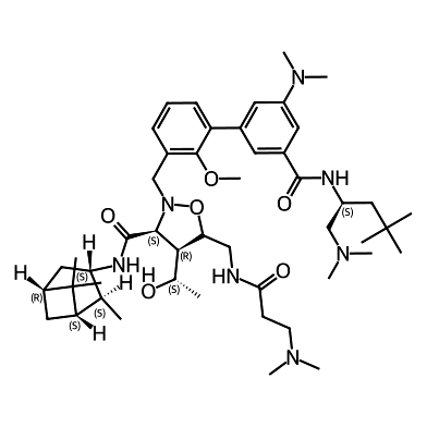 COc1c(CN2OC(CNC(=O)CCN(C)C)[C@@H]([C@H](C)O)[C@H]2C(=O)N[C@H]2C[C@H]3C[C@@H]([C@@H]2C)C3(C)C)cccc1-c1cc(C(=O)N[C@H](CN(C)C)CC(C)(C)C)cc(N(C)C)c1